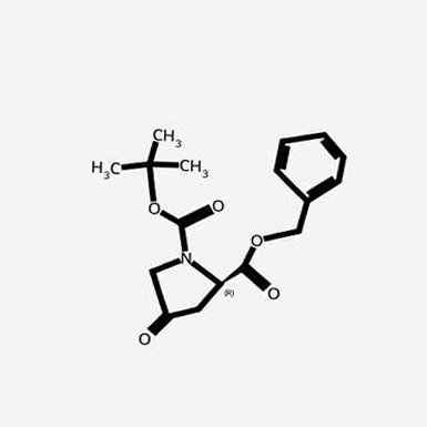 CC(C)(C)OC(=O)N1CC(=O)C[C@@H]1C(=O)OCc1ccccc1